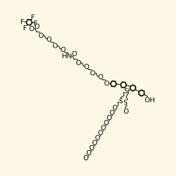 COCCSCCC[Si]1(CCCSCCOCOCOCOCOCOCOCOCOCOCOC)c2cc(-c3ccc(CO)cc3)ccc2-c2ccc(-c3ccc(OCCOCCOCCOCCOCCC(=O)NCCOCCOCCOCCOCCC(=O)Oc4c(F)c(F)cc(F)c4F)cc3)cc21